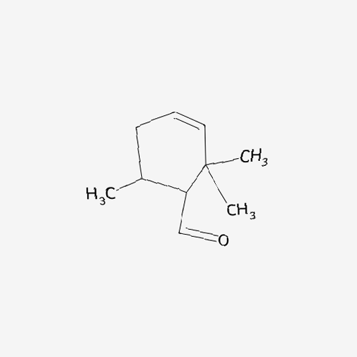 CC1CC=CC(C)(C)C1C=O